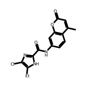 CCc1[nH]c(C(=O)Nc2ccc3c(C)cc(=O)oc3c2)nc1Cl